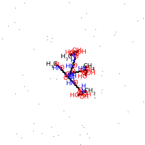 COCCNC(=O)CCCCCNC(=O)C(CCCCNC(=O)CCCCCO[C@@H]1OC(CO)[C@H](O)C(O)[C@@H]1NC(C)=O)NC(=O)C(CCCCNC(=O)CCCCCO[C@@H]1OC(CO)[C@H](O)C(O)[C@@H]1NC(C)=O)NC(=O)CCCCCO[C@@H]1OC(CO)[C@H](O)C(O)[C@@H]1NC(C)=O